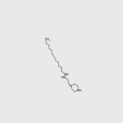 CCCCCCCCCCCCNNCCN1CCNCC1